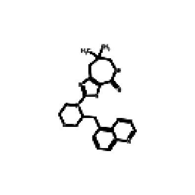 CC1(C)CNC(=O)c2sc(N3CCOCC3Cc3cccc4ncccc34)nc2C1